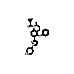 CC1CCc2c(ccc(-c3ccn(C4CCNCC4)n3)c2Oc2ccccc2)N1C(=O)C1CC1